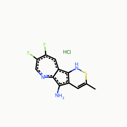 CC1=Cc2c(N)c3ncc(F)c(F)cc-3c2NS1.Cl